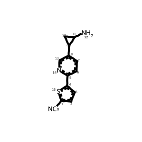 N#Cc1ccc(-c2ccc(C3CC3N)cn2)s1